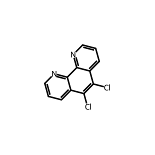 Clc1c(Cl)c2cccnc2c2ncccc12